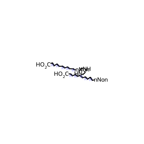 C1CNCCN1.CCCCCCCCC/C=C/C=C/C=C/C=C/C=C/C(=O)O.CCCCCCCCC/C=C/C=C/C=C/C=C/C=C/C(=O)O